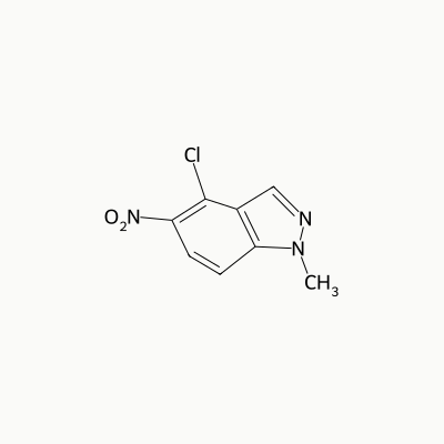 Cn1ncc2c(Cl)c([N+](=O)[O-])ccc21